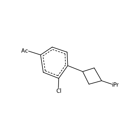 CC(=O)c1ccc(C2CC(C(C)C)C2)c(Cl)c1